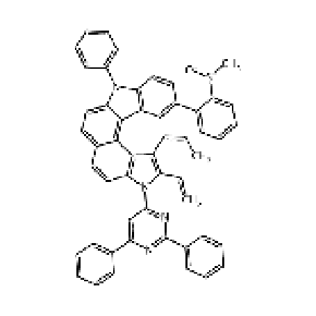 C=Cc1c(/C=C\C)c2c3c(ccc2n1-c1cc(-c2ccccc2)nc(-c2ccccc2)n1)ccc1c3c2cc(-c3ccccc3[S+](C)[O-])ccc2n1-c1ccccc1